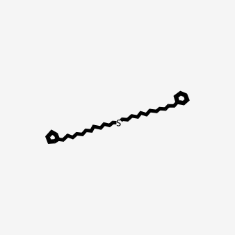 c1ccc(CCCCCCCCCCCCSCCCCCCCCCCCCc2ccccc2)cc1